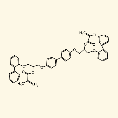 C=C(C)C(=O)OC(COc1ccc(-c2ccc(OCC(COc3ccccc3-c3ccccc3)OC(=O)C(=C)C)cc2)cc1)COc1ccccc1-c1ccccc1